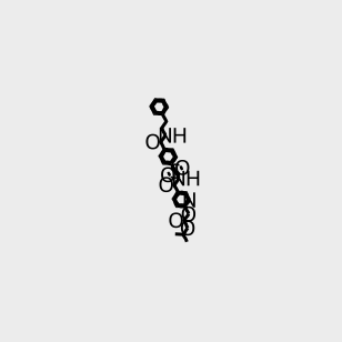 CC(C)OC(=O)Oc1ccc(C(=O)NS(=O)(=O)c2ccc(C(=O)NCCc3ccccc3)cc2)cn1